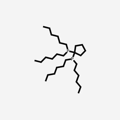 CCCCCCP(CCCCCC)C1(P(CCCCCC)CCCCCC)CCCC1